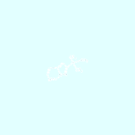 CC(C)(C)c1cc2ccncn2n1